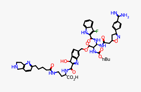 CCCCOC(=O)NC(C(=O)OCc1ccc2c(c1)N=C(C(=O)N[C@@H](CCNC(=O)CCCCc1ccc3c(n1)CCNC3)C(=O)O)C2O)[C@H](NC(=O)CC1CC(c2ccc(C(=N)N)cc2)=NO1)NC(=O)c1[nH]c2ccccc2c1F